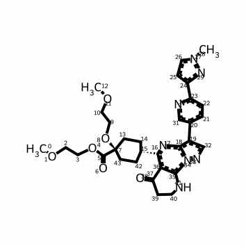 COCCOC(=O)[C@]1(OCCOC)CC[C@H](c2nc3c(-c4ccc(-c5ccn(C)n5)nc4)cnn3c3c2C(=O)CCN3)CC1